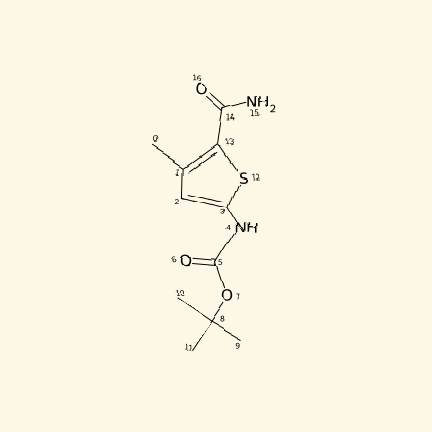 Cc1cc(NC(=O)OC(C)(C)C)sc1C(N)=O